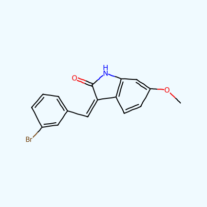 COc1ccc2c(c1)NC(=O)C2=Cc1cccc(Br)c1